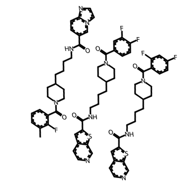 Cc1cccc(C(=O)N2CCC(CCCCNC(=O)c3ccc4nccn4c3)CC2)c1F.O=C(NCCCCC1CCN(C(=O)c2ccc(F)c(F)c2)CC1)c1cc2ccncc2s1.O=C(NCCCCC1CCN(C(=O)c2ccc(F)cc2F)CC1)c1cc2ccncc2s1